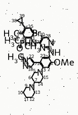 COc1cc(N2CCC(N3CCCCC3)CC2)c(-c2cnn(C)c2)cc1Nc1ncc(Br)c(Nc2ccc(C3CC3)c(C)c2P(C)(C)=O)n1